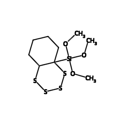 CO[Si](OC)(OC)C12CCCCC1SSSS2